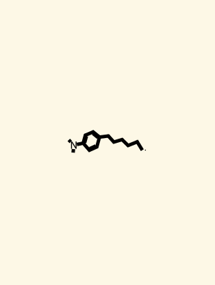 [CH2]CCCCCc1ccc(N(C)C)cc1